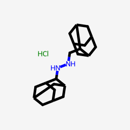 C1C2CC3CC1CC(C2)C3CNNC1C2CC3CC(C2)CC1C3.Cl